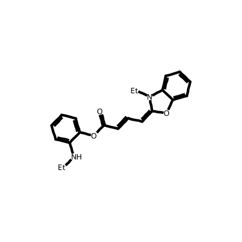 CCNc1ccccc1OC(=O)/C=C/C=C1/Oc2ccccc2N1CC